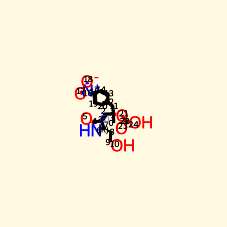 CC(/C=C1/C(=O)N[C@@H]1CCO)(Cc1ccc([N+](=O)[O-])cc1)OC(=O)O